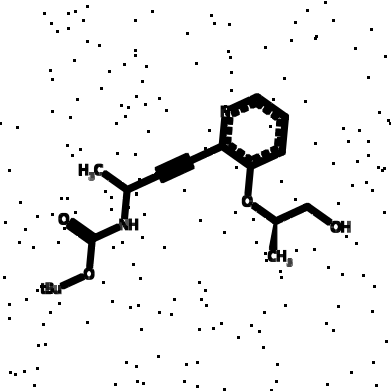 CC(C#Cc1ncccc1O[C@H](C)CO)NC(=O)OC(C)(C)C